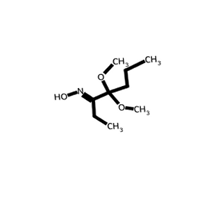 CCCC(OC)(OC)/C(CC)=N/O